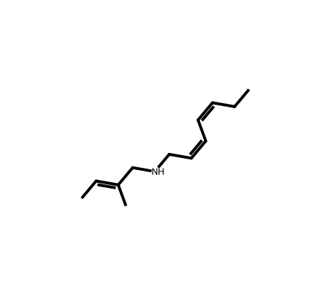 C/C=C(\C)CNC/C=C\C=C/CC